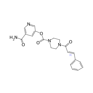 NC(=O)c1cncc(OC(=O)N2CCN(C(=O)/C=C/c3ccccc3)CC2)c1